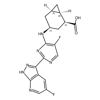 O=C(O)[C@H]1C[C@@H](Nc2nc(-c3n[nH]c4ncc(F)cc34)ncc2F)C[C@H]2C[C@H]21